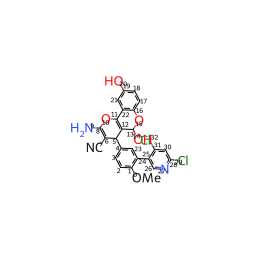 COc1ccc(C2C(C#N)=C(N)OC3=C2C(O)Oc2ccc(O)cc23)cc1-c1cnc(Cl)cc1Cl